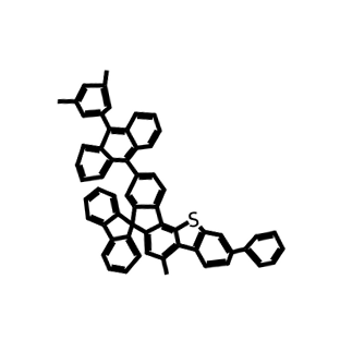 Cc1cc(C)cc(-c2c3ccccc3c(-c3ccc4c(c3)C3(c5ccccc5-c5ccccc53)c3cc(C)c5c(sc6cc(-c7ccccc7)ccc65)c3-4)c3ccccc23)c1